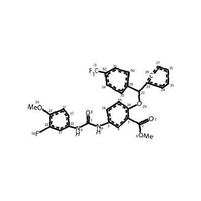 COC(=O)c1cc(NC(=O)Nc2ccc(OC)c(F)c2)ccc1OC(c1ccccc1)c1ccc(C(F)(F)F)cc1